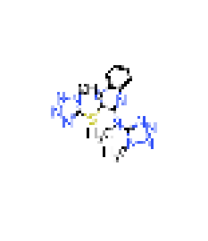 CN(c1nc2ccccc2nc1Sc1nnnn1C)c1nnnn1C